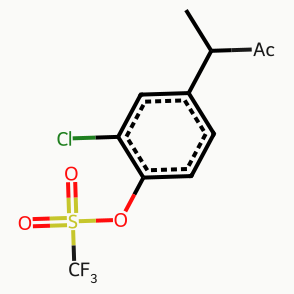 CC(=O)C(C)c1ccc(OS(=O)(=O)C(F)(F)F)c(Cl)c1